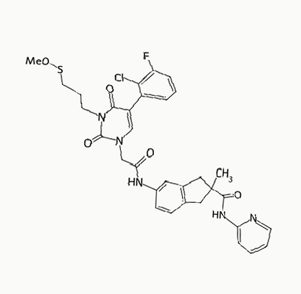 COSCCCn1c(=O)c(-c2cccc(F)c2Cl)cn(CC(=O)Nc2ccc3c(c2)CC(C)(C(=O)Nc2ccccn2)C3)c1=O